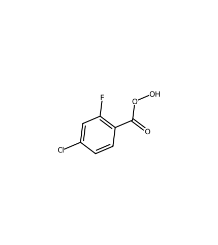 O=C(OO)c1ccc(Cl)cc1F